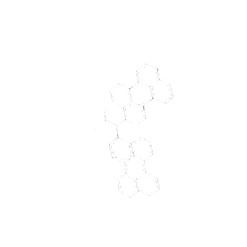 CC(C)N(c1ccc2c3cccc4cccc(c5cccc1c52)c43)c1ccc2c3cccc4cccc(c5cccc1c52)c43